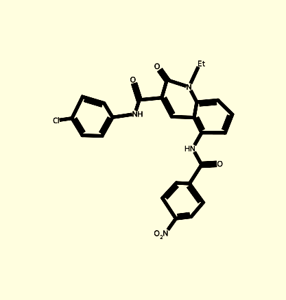 CCn1c(=O)c(C(=O)Nc2ccc(Cl)cc2)cc2c(NC(=O)c3ccc([N+](=O)[O-])cc3)cccc21